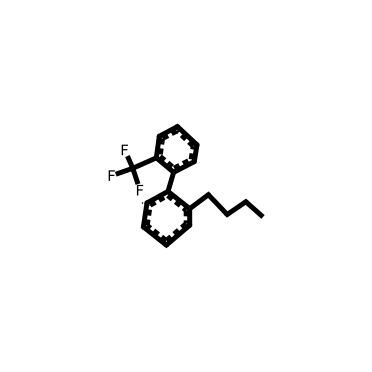 CCCCc1ccc[c]c1-c1ccccc1C(F)(F)F